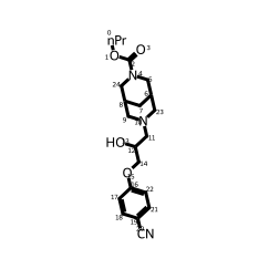 CCCOC(=O)N1CC2CC(CN(CC(O)COc3ccc(C#N)cc3)C2)C1